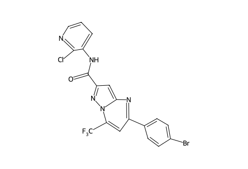 O=C(Nc1cccnc1Cl)c1cc2nc(-c3ccc(Br)cc3)cc(C(F)(F)F)n2n1